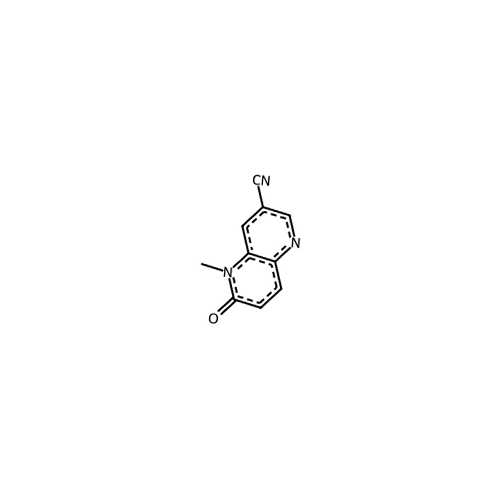 Cn1c(=O)ccc2ncc(C#N)cc21